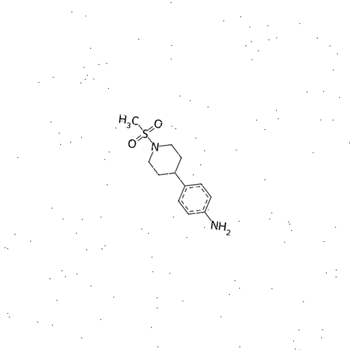 CS(=O)(=O)N1CCC(c2ccc(N)cc2)CC1